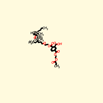 C=CC(=O)OCCOC(=O)c1ccc(C(=O)OCCOCCCC(C)(CC)[Si](C)(C)OC(C)(CC)[Si](C)(C)CCCC)c(C(=O)O)c1